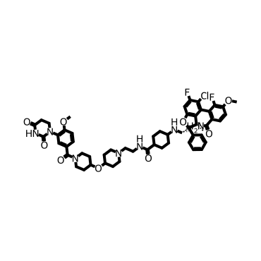 COc1ccc(C(=O)N2CCC(OC3CCN(CCNC(=O)C4CCC(NC[C@]5(c6ccccc6)Oc6cc(F)c(Cl)c(-c7c(C(N)=O)ccc(OC)c7F)c6[C@@H]5C)CC4)CC3)CC2)cc1N1CCC(=O)NC1=O